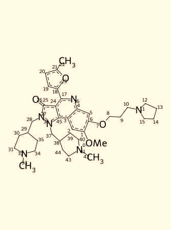 COc1cc2c(cc1OCCCN1CCCC1)nc(-c1ccc(C)o1)c1c(=O)n(CC3CCN(C)CC3)n(CC3CCN(C)CC3)c12